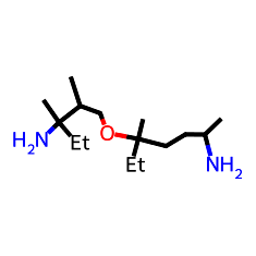 CCC(C)(CCC(C)N)OCC(C)C(C)(N)CC